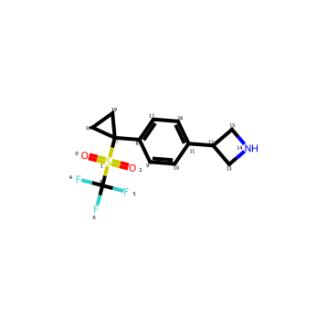 O=S(=O)(C(F)(F)F)C1(c2ccc(C3CNC3)cc2)CC1